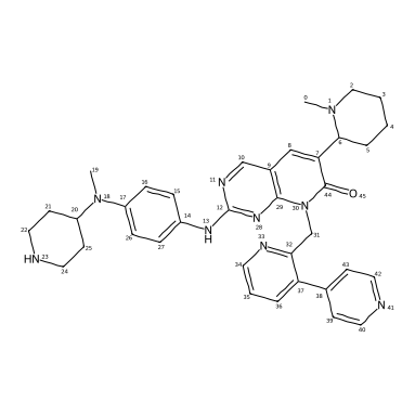 CN1CCCCC1c1cc2cnc(Nc3ccc(N(C)C4CCNCC4)cc3)nc2n(Cc2ncccc2-c2ccncc2)c1=O